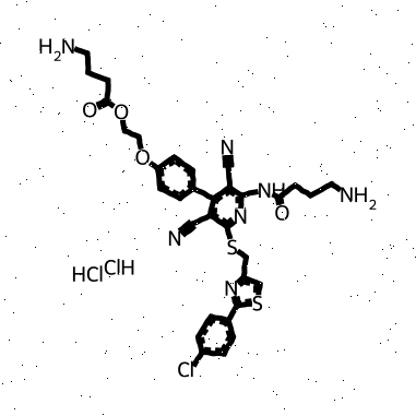 Cl.Cl.N#Cc1c(NC(=O)CCCN)nc(SCc2csc(-c3ccc(Cl)cc3)n2)c(C#N)c1-c1ccc(OCCOC(=O)CCCN)cc1